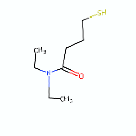 CCN(CC)C(=O)CCCS